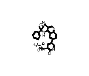 CS(=O)(=O)Nc1cc(-c2ccc3ncc(C#N)c(NC4(c5ccccc5)COC4)c3c2)cnc1Cl